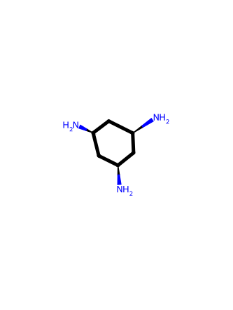 N[C@H]1C[C@@H](N)C[C@@H](N)C1